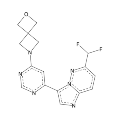 FC(F)c1ccc2ncc(-c3cc(N4CC5(COC5)C4)ncn3)n2n1